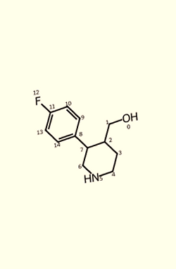 OCC1CCNCC1c1ccc(F)cc1